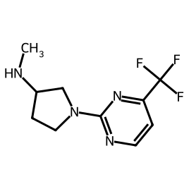 CNC1CCN(c2nccc(C(F)(F)F)n2)C1